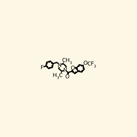 C[C@@H]1CN(C(=O)c2cc3ccc(OC(F)(F)F)cc3o2)[C@@H](C)CN1Cc1ccc(F)cc1